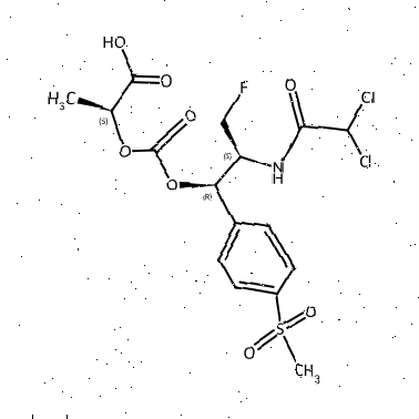 C[C@H](OC(=O)O[C@H](c1ccc(S(C)(=O)=O)cc1)[C@@H](CF)NC(=O)C(Cl)Cl)C(=O)O